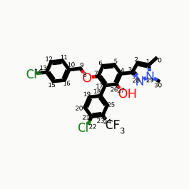 Cc1cc(-c2ccc(OCc3ccc(Cl)cc3)c(-c3ccc(Cl)c(C(F)(F)F)c3)c2O)nn1C